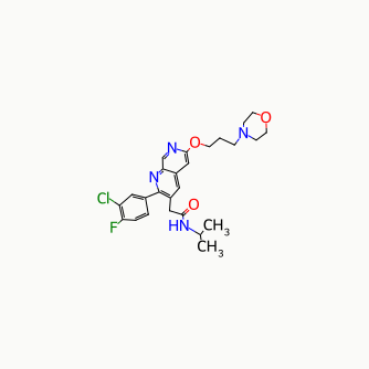 CC(C)NC(=O)Cc1cc2cc(OCCCN3CCOCC3)ncc2nc1-c1ccc(F)c(Cl)c1